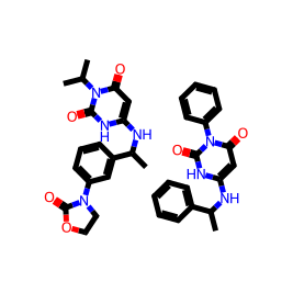 CC(Nc1cc(=O)n(-c2ccccc2)c(=O)[nH]1)c1ccccc1.CC(Nc1cc(=O)n(C(C)C)c(=O)[nH]1)c1cccc(N2CCOC2=O)c1